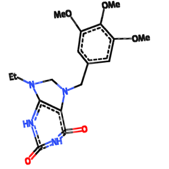 CCN1CN(Cc2cc(OC)c(OC)c(OC)c2)c2c1[nH]c(=O)[nH]c2=O